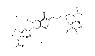 Nc1nc(-c2cc3ncn(CCCC(COC(F)F)Nc4cn[nH]c(=O)c4C(F)(F)F)c(=O)c3cc2F)ncc1OC(F)F